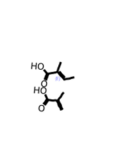 C/C=C(\C)C(=O)O.C=C(C)C(=O)O